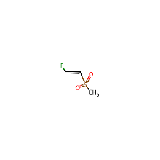 CS(=O)(=O)C=CF